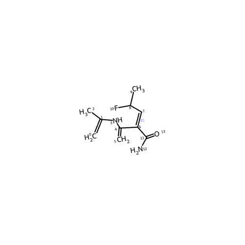 C=C(C)NC(=C)/C(=C\C(C)F)C(N)=O